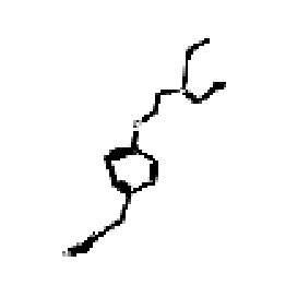 CCN(CC)CCOc1ccc(CC#N)cc1